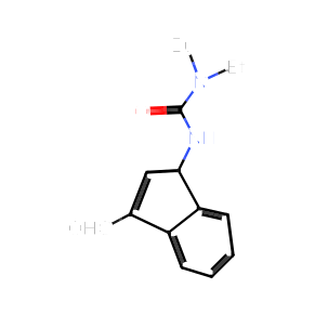 CCN(CC)C(=O)NC1C=C(C=O)c2ccccc21